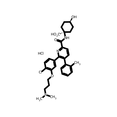 Cc1ccccc1-c1ccc(C(=O)N[C@]2(C(=O)O)CC[C@H](O)CC2)nc1-c1ccc(Cl)c(OCCCN(C)C)c1.Cl